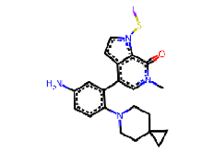 Cn1cc(-c2cc(N)ccc2N2CCC3(CC2)CC3)c2ccn(SI)c2c1=O